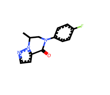 CC1CN(c2ccc(F)cc2)C(=O)c2ccnn21